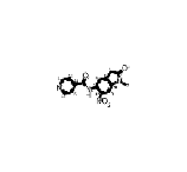 CN1C(=O)Cc2cc(NC(=O)c3ccncc3)c([N+](=O)[O-])cc21